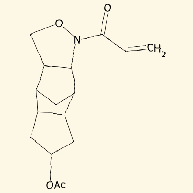 C=CC(=O)N1OCC2C3CC(C4CC(OC(C)=O)CC34)C21